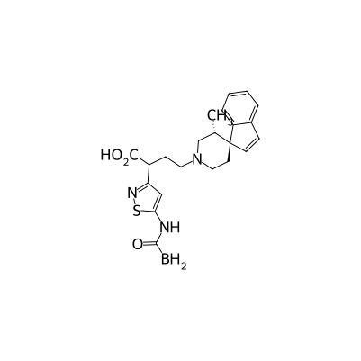 BC(=O)Nc1cc(C(CCN2CC[C@@]3(C=Cc4ccccc43)[C@@H](C)C2)C(=O)O)ns1